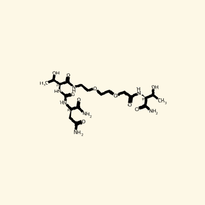 CC(O)[C@H](NC(=O)N[C@H](CC(N)=O)C(N)=O)C(=O)NCCOCCOCC(=O)N[C@@H](C(N)=O)C(C)O